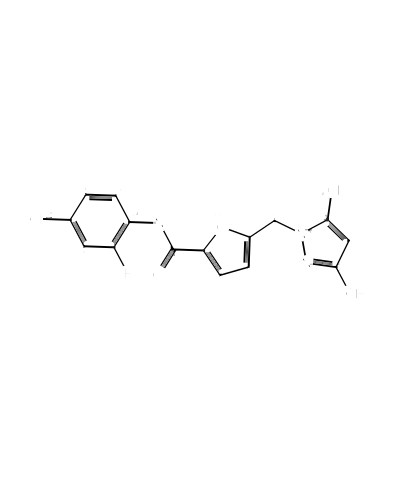 Cc1cc(C)n(Cc2ccc(C(=O)Nc3ccc(Cl)cc3F)o2)n1